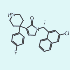 C[C@H](c1cc(Cl)cc2ccccc12)N1CC=C(C2(c3ccc(F)cc3)CCNCC2)C1=O